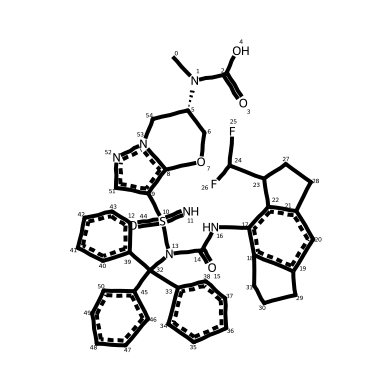 CN(C(=O)O)[C@@H]1COc2c(S(=N)(=O)N(C(=O)Nc3c4c(cc5c3C(C(F)F)CC5)CCC4)C(c3ccccc3)(c3ccccc3)c3ccccc3)cnn2C1